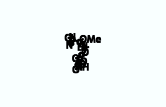 CCc1cc(-c2cn(C)c(=O)c3cnccc23)cc(OC)c1CN1CC(Oc2ccc3c(c2)C(=O)N(C2CCC(=O)NC2=O)C3=O)C1C